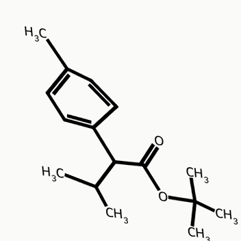 Cc1ccc(C(C(=O)OC(C)(C)C)C(C)C)cc1